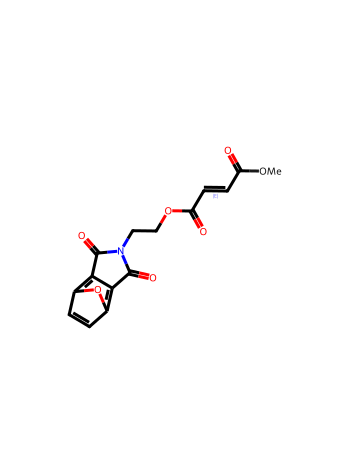 COC(=O)/C=C/C(=O)OCCN1C(=O)c2c(c3ccc2o3)C1=O